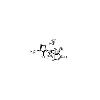 Cl.Cl.[CH2]=[Zr](=[CH2])([C]1=C(C)C(C)=CC1)[C]1=C(C)C(C)=CC1